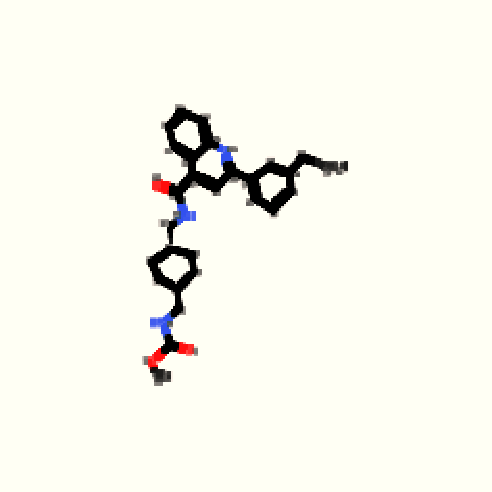 CC(C)(C)OC(=O)NC[C@H]1CC[C@H](CNC(=O)c2cc(-c3cccc(CC(=O)O)c3)nc3ccccc23)CC1